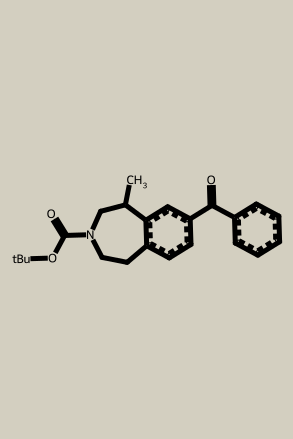 CC1CN(C(=O)OC(C)(C)C)CCc2ccc(C(=O)c3ccccc3)cc21